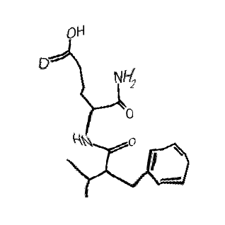 CC(C)C(Cc1ccccc1)C(=O)NC(CCC(=O)O)C(N)=O